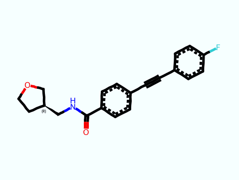 O=C(NC[C@H]1CCOC1)c1ccc(C#Cc2ccc(F)cc2)cc1